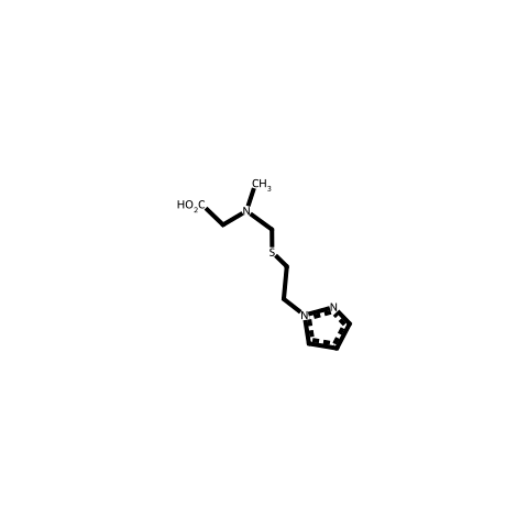 CN(CSCCn1cccn1)CC(=O)O